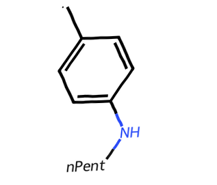 [CH2]c1ccc(NCCCCC)cc1